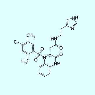 Cc1cc(S(=O)(=O)N2c3ccccc3NC(=O)[C@H]2CC(=O)NCCc2c[nH]cn2)c(C)cc1Cl